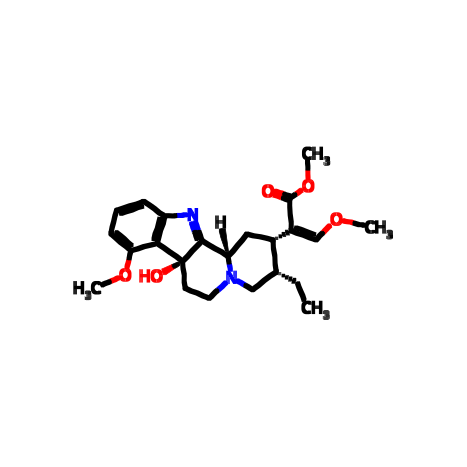 CC[C@@H]1CN2CC[C@@]3(O)C(=Nc4cccc(OC)c43)[C@@H]2C[C@@H]1C(=COC)C(=O)OC